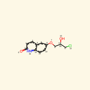 O=c1ccc2cc(OC[C@@H](O)CCl)ccc2[nH]1